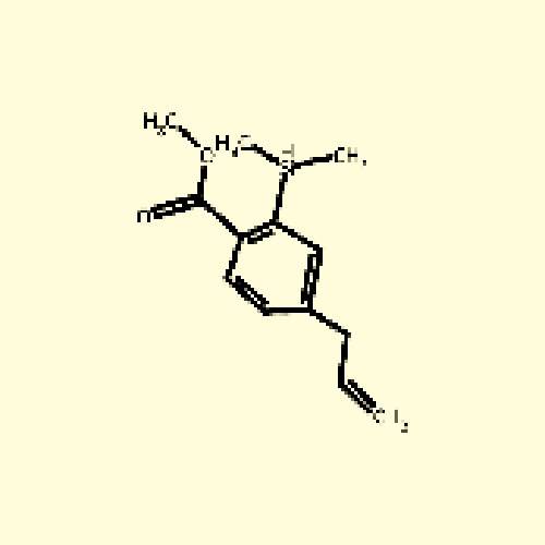 C=CCc1ccc(C(=O)OC)c([SiH](C)C)c1